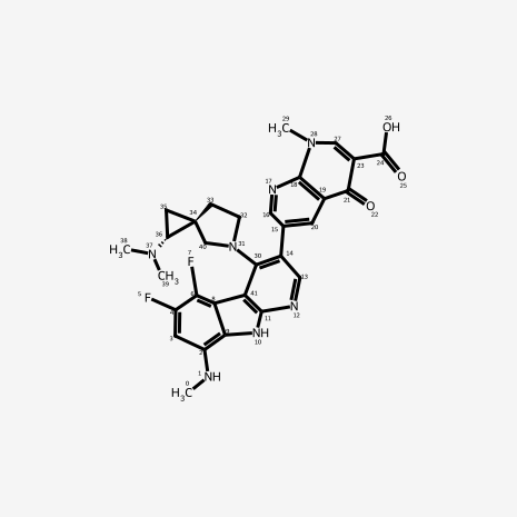 CNc1cc(F)c(F)c2c1[nH]c1ncc(-c3cnc4c(c3)c(=O)c(C(=O)O)cn4C)c(N3CC[C@@]4(C[C@H]4N(C)C)C3)c12